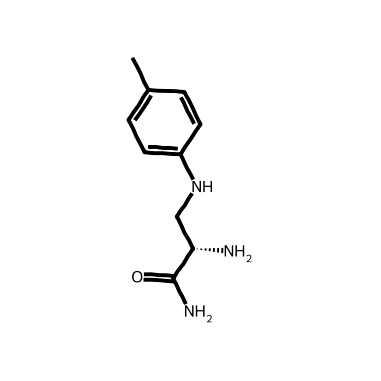 Cc1ccc(NC[C@H](N)C(N)=O)cc1